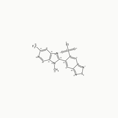 CCS(=O)(=O)c1cc2nsnc2cc1-c1nc2cc(C(F)(F)F)ncc2n1C